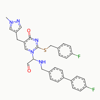 Cn1cc(Cc2cn(C(C=O)NCc3ccc(-c4ccc(F)cc4)cc3)c(SCc3ccc(F)cc3)nc2=O)cn1